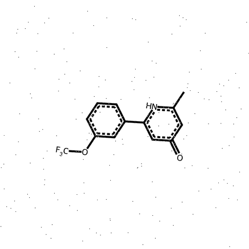 Cc1cc(=O)cc(-c2cccc(OC(F)(F)F)c2)[nH]1